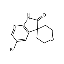 O=C1Nc2ncc(Br)cc2C12CCOCC2